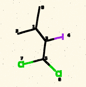 CC(C)C(I)C(Cl)Cl